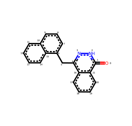 O=c1[nH]nc(Cc2cccc3ccccc23)c2ccccc12